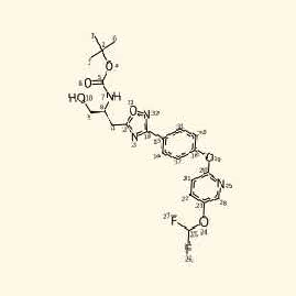 CC(C)(C)OC(=O)N[C@H](CO)Cc1nc(-c2ccc(Oc3ccc(OC(F)F)cn3)cc2)no1